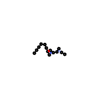 c1ccc(-c2ccc(-c3ccc(-c4cccc(-c5cccc(-c6ccc(-c7ccc(-c8ccccc8-n8c9ccccc9c9cc(-c%10ccc%11c(c%10)c%10ccccc%10n%11-c%10ccc(-c%11ccccc%11)cc%10)ccc98)cc7)cc6)c5)c4)cc3)cc2)cc1